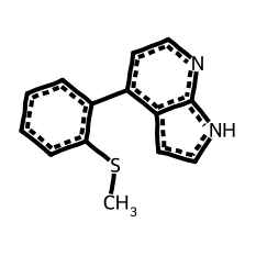 CSc1ccccc1-c1ccnc2[nH]ccc12